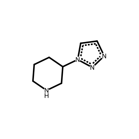 c1cn(C2CCCNC2)nn1